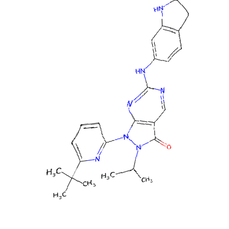 CC(C)n1c(=O)c2cnc(Nc3ccc4c(c3)NCC4)nc2n1-c1cccc(C(C)(C)C)n1